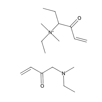 C=CC(=O)C(CC)[N+](C)(C)CC.C=CC(=O)CN(C)CC